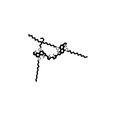 CCCCCCCCCCCCOc1cc2cc(-c3ccc(-c4ccc(-c5cc6cc(OCCCCCCCCCCCC)c7c8sccc8cc(OCCCCCCCCCCCC)c7c6s5)s4)s3)sc2c2c(OCCCCCCCCCCCC)cc3ccsc3c12